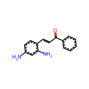 Nc1ccc(/C=C/C(=O)c2ccccc2)c(N)c1